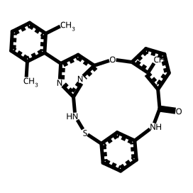 Cc1cccc(C)c1-c1cc2nc(n1)NSc1cccc(c1)NC(=O)c1cccc(c1C)O2